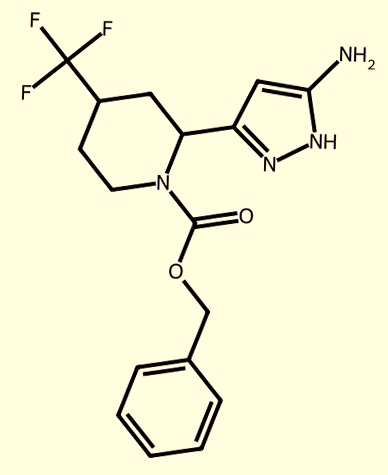 Nc1cc(C2CC(C(F)(F)F)CCN2C(=O)OCc2ccccc2)n[nH]1